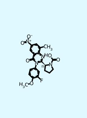 COc1ccc(-n2c([C@@H]3CCCN3C(=O)O)nc3c(C)cc([N+](=O)[O-])cc3c2=O)cc1F